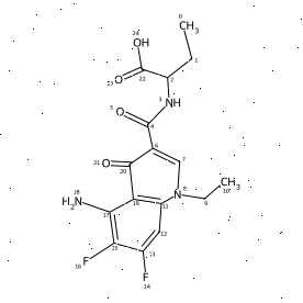 CCC(NC(=O)c1cn(CC)c2cc(F)c(F)c(N)c2c1=O)C(=O)O